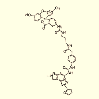 Cn1cc2c(nc(NC(=O)Nc3ccc(CC(=O)NCCCNC(=S)Nc4ccc5c(c4)C(=O)OC54c5ccc(O)cc5Oc5cc(O)ccc54)cc3)n3nc(-c4ccco4)nc23)n1